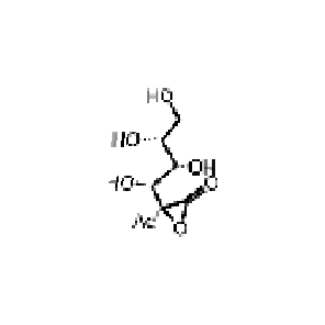 CC(=O)[C@@]1([C@@H](O)[C@@H](O)[C@H](O)CO)OC1=O